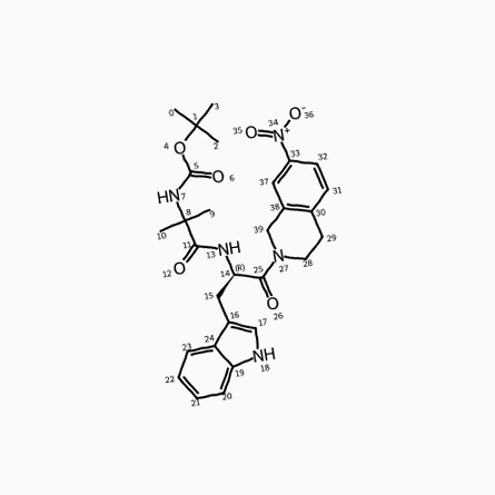 CC(C)(C)OC(=O)NC(C)(C)C(=O)N[C@H](Cc1c[nH]c2ccccc12)C(=O)N1CCc2ccc([N+](=O)[O-])cc2C1